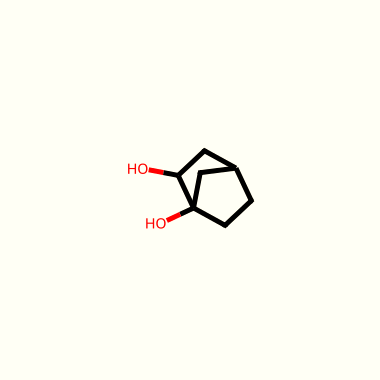 OC1CC2CCC1(O)C2